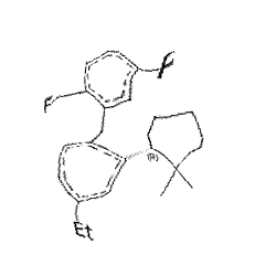 CCc1ccc(-c2cc(F)ccc2F)c([C@@H]2CCCC2(C)C)c1